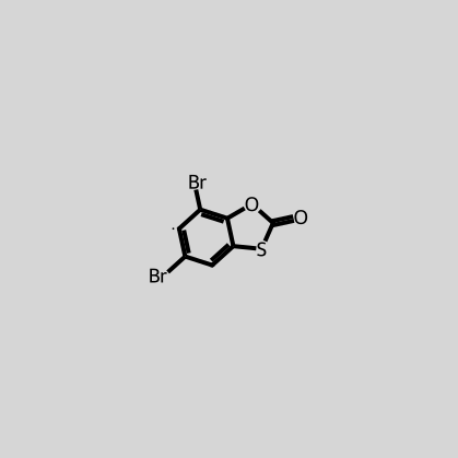 O=c1oc2c(Br)[c]c(Br)cc2s1